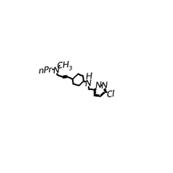 CCCN(C)CC#CC1CCC(NCc2ccc(Cl)nn2)CC1